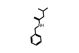 C=C(CC(C)C)NCc1ccccc1